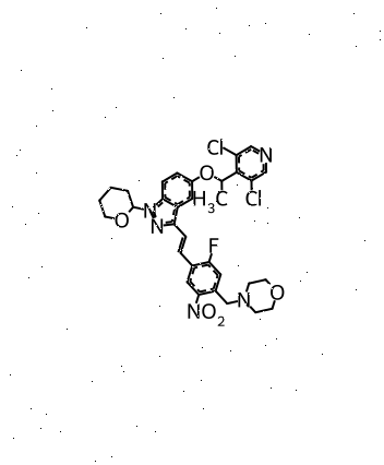 CC(Oc1ccc2c(c1)c(/C=C/c1cc([N+](=O)[O-])c(CN3CCOCC3)cc1F)nn2C1CCCCO1)c1c(Cl)cncc1Cl